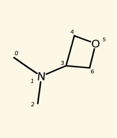 CN(C)C1COC1